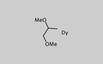 COCC(C)OC.[Dy]